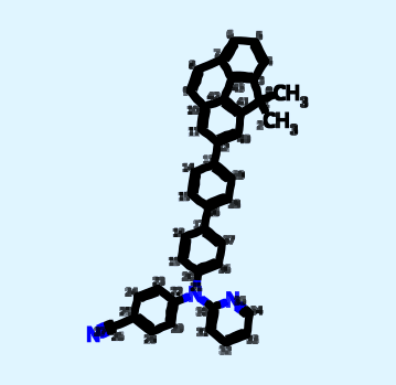 CC1(C)c2cccc3ccc4cc(-c5ccc(-c6ccc(N(c7ccc(C#N)cc7)c7ccccn7)cc6)cc5)cc1c4c23